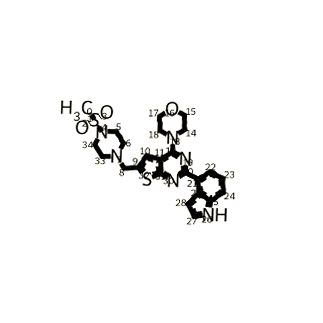 CS(=O)(=O)N1CCN(Cc2cc3c(N4CCOCC4)nc(-c4cccc5[nH]ccc45)nc3s2)CC1